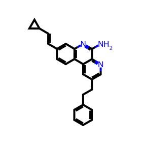 Nc1nc2cc(C=CC3CC3)ccc2c2cc(CCc3ccccc3)cnc12